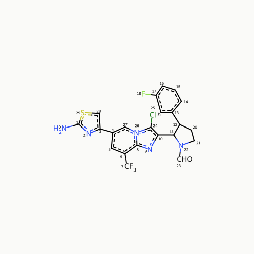 Nc1nc(-c2cc(C(F)(F)F)c3nc(C4C(c5cccc(F)c5)CCN4C=O)c(Cl)n3c2)cs1